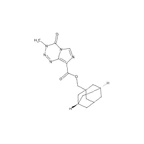 Cn1nnc2c(C(=O)OCC34CC5C[C@H](C3)C[C@H](C5)C4)ncn2c1=O